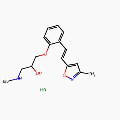 Cc1cc(C=Cc2ccccc2OCC(O)CNC(C)(C)C)on1.Cl